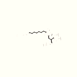 CCCCCCCCCCCCCCCCCC(=O)OC(=O)CC(CCCCCCCCCCC)C(C)O